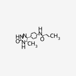 CC=CC(=O)Nc1ccc(C2=NNC(=O)NC2C)cc1